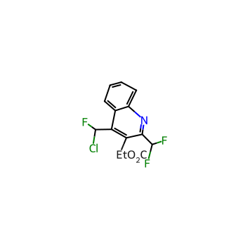 CCOC(=O)c1c(C(F)F)nc2ccccc2c1C(F)Cl